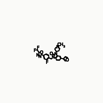 CN1CCC(n2c(=O)n(Cc3ccc(-c4nnc(C(F)F)o4)cc3F)c3ccc(-c4ccoc4)cc32)CC1